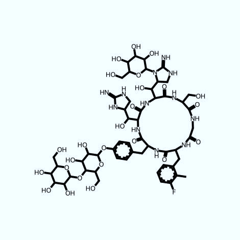 Cc1c(F)cccc1CC1NC(=O)CNC(=O)C(CO)NC(=O)C(C(O)C2CNC(=N)N2C2OC(CO)C(O)C(O)C2O)NC(=O)C(C(O)C2CNC(=N)N2)NC(=O)C(Cc2ccc(OC3OC(CO)C(OC4OC(CO)C(O)C(O)C4O)C(O)C3O)cc2)NC1=O